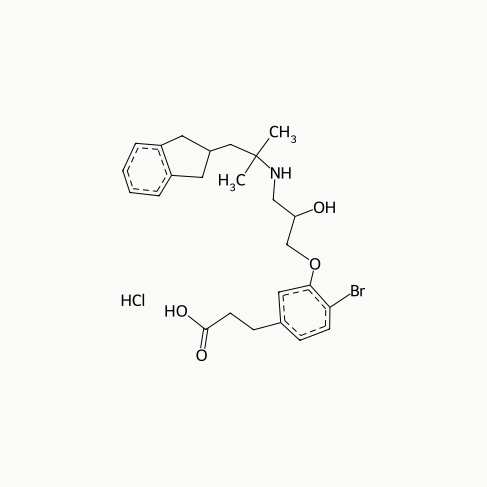 CC(C)(CC1Cc2ccccc2C1)NCC(O)COc1cc(CCC(=O)O)ccc1Br.Cl